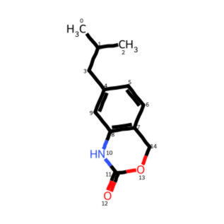 CC(C)Cc1ccc2c(c1)NC(=O)OC2